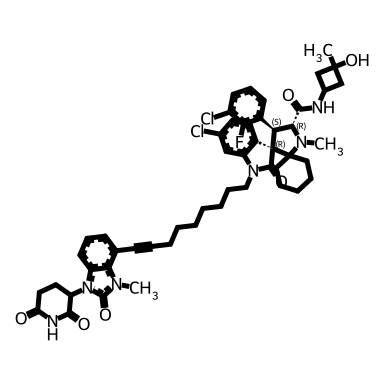 CN1[C@@H](C(=O)NC2CC(C)(O)C2)[C@H](c2cccc(Cl)c2F)[C@]2(C(=O)N(CCCCCCCC#Cc3cccc4c3n(C)c(=O)n4C3CCC(=O)NC3=O)c3cc(Cl)ccc32)C12CCCCC2